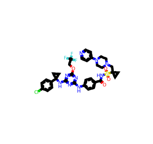 O=C(NS(=O)(=O)C1(CN2CCN(c3ccncc3)CC2)CC1)c1ccc(Nc2nc(NC3(c4ccc(Cl)cc4)CC3)nc(OCC(F)(F)F)n2)cc1